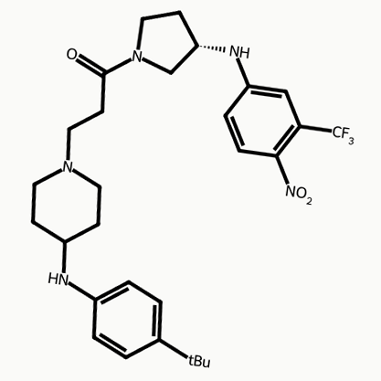 CC(C)(C)c1ccc(NC2CCN(CCC(=O)N3CC[C@H](Nc4ccc([N+](=O)[O-])c(C(F)(F)F)c4)C3)CC2)cc1